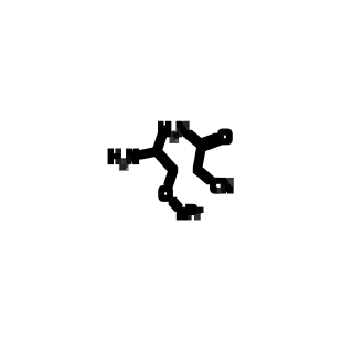 CCCOCC(C)N.N#CCC(N)=O